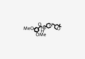 COc1cc(OC)cc(C(=O)NCC2(F)CCN(CC3CCOC(C)(C)C3)CC2)c1